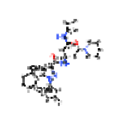 COc1cccc(OC)c1-c1cc(C(=O)N[C@@H](CCN2CCCCC2)CC(=O)NC2CCC2)nn1C1CCC(C)C1